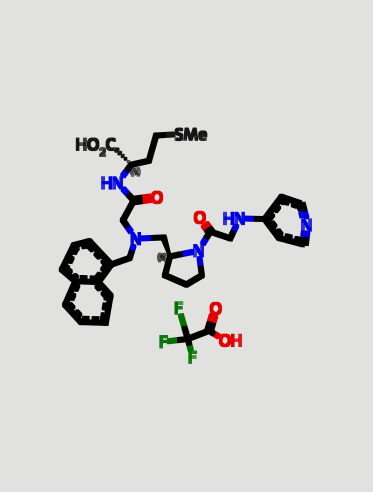 CSCC[C@H](NC(=O)CN(Cc1cccc2ccccc12)C[C@@H]1CCCN1C(=O)CNc1ccncc1)C(=O)O.O=C(O)C(F)(F)F